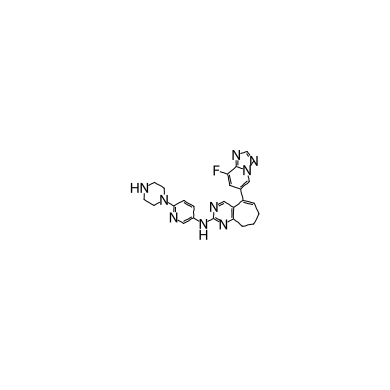 Fc1cc(C2=CCCCc3nc(Nc4ccc(N5CCNCC5)nc4)ncc32)cn2ncnc12